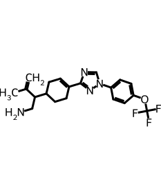 C=C(C)C(CN)C1CC=C(c2ncn(-c3ccc(OC(F)(F)F)cc3)n2)CC1